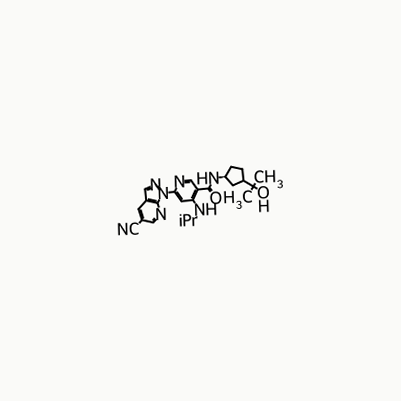 CC(C)Nc1cc(-n2ncc3cc(C#N)cnc32)ncc1C(=O)N[C@H]1CCC(C(C)(C)O)C1